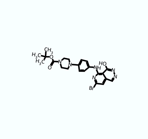 CC(C)(C)OC(=O)N1CCN(c2ccc(Nc3nc(Br)cc4cnnc(O)c34)cc2)CC1